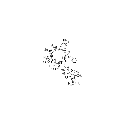 Cc1c(C)c(S(=O)(=O)NC(=N)NCCC[C@@H]2NC(=O)C([C@@H](C)OC(C)(C)C)NC(=O)[C@H]([C@@H](C)OC(C)(C)C)NC(=O)[C@H]([C@@H](C)OC(C)(C)C)NC(=O)[C@H](CSCC(N)=O)NC(=O)C[C@@H](C(=O)OCc3ccccc3)NC2=O)c(C)c2c1CC(C)(C)O2